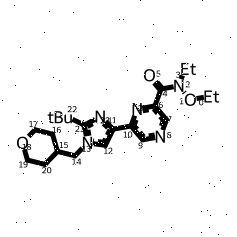 CCON(CC)C(=O)c1cncc(-c2cn(CC3CCOCC3)c(C(C)(C)C)n2)n1